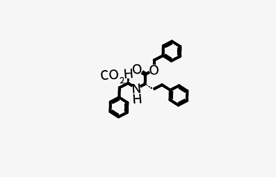 O=C(O)[C@H](Cc1ccccc1)N[C@@H](CCc1ccccc1)C(=O)OCc1ccccc1